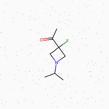 CC(=O)C1(F)CN(C(C)C)C1